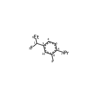 CCC(F)c1ccc(C(C)C)c(C)c1